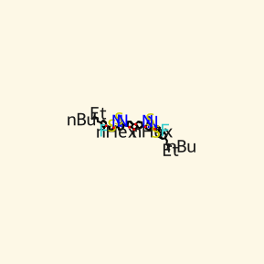 CCCCCCC1(CCCCCC)c2cc(-c3ccc(-c4ccc(-c5ccc(CCC(CC)CCCC)cc5F)s4)c4nsnc34)ccc2-c2ccc(-c3ccc(-c4ccc(-c5ccc(CCC(CC)CCCC)cc5F)s4)c4nsnc34)cc21